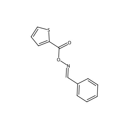 O=C(ON=Cc1ccccc1)c1cccs1